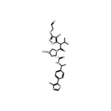 Cc1ncsc1-c1ccc(C(C)NC(=O)[C@@H]2C[C@@H](O)CN2C(=O)C(c2onc(OCC=O)c2Cl)C(C)C)cc1